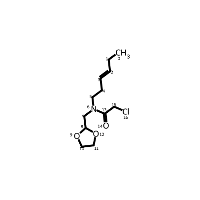 CC/C=C/CCN(CC1OCCO1)C(=O)CCl